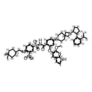 COc1nc2[nH]ccc2cc1Oc1cc(N2CCC3(CC2)CN(C2CCC[C@H]2c2ccccc2C(C)C)C3)ccc1C(=O)NS(=O)(=O)c1ccc(NCC2CCC(C)(C)CC2)c([N+](=O)[O-])c1